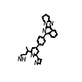 C/C(=C\C=N)c1cc(-c2ccc(-c3nc4c(nc5ccccn54)c4ccccc34)cc2)cc(C2=NC=C2)n1